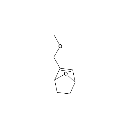 COCC1=CC2CCC1O2